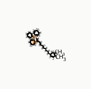 Cc1ccc(CCCCCCCCCC[PH](c2ccccc2)(c2ccccc2)c2ccccc2)cc1C